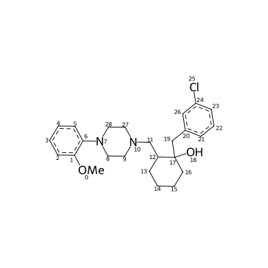 COc1ccccc1N1CCN(CC2CCCCC2(O)Cc2cccc(Cl)c2)CC1